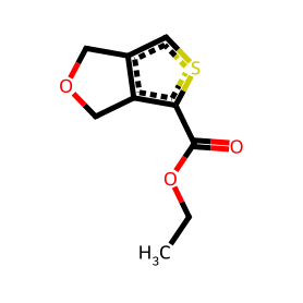 CCOC(=O)c1scc2c1COC2